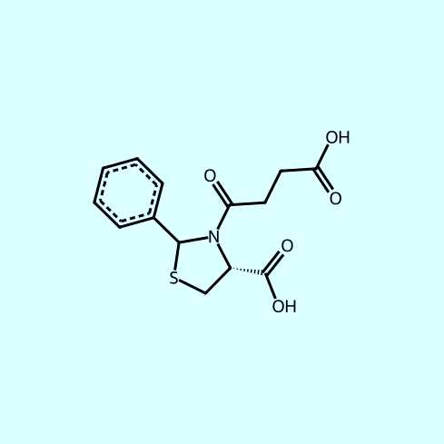 O=C(O)CCC(=O)N1C(c2ccccc2)SC[C@H]1C(=O)O